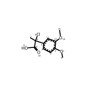 COc1ccc(C(C)(Cl)C(=O)O)cc1OC